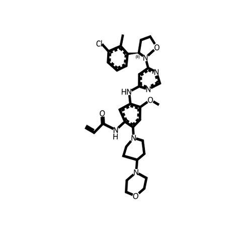 C=CC(=O)Nc1cc(Nc2cc(N3OCC[C@@H]3c3cccc(Cl)c3C)ncn2)c(OC)cc1N1CCC(N2CCOCC2)CC1